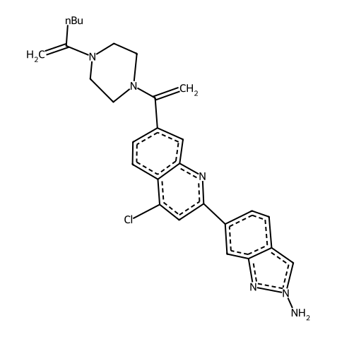 C=C(CCCC)N1CCN(C(=C)c2ccc3c(Cl)cc(-c4ccc5cn(N)nc5c4)nc3c2)CC1